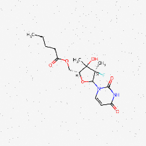 CCCCC(=O)OC[C@H]1OC(n2ccc(=O)[nH]c2=O)[C@](C)(F)C1(C)O